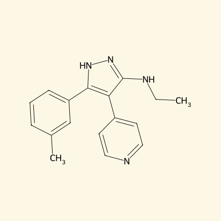 CCNc1n[nH]c(-c2cccc(C)c2)c1-c1ccncc1